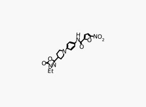 CCn1nc(C2CCN(c3ccc(NC(=O)c4ccc([N+](=O)[O-])o4)cc3)CC2)oc1=O